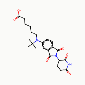 CC(C)(C)N(CCCCCC(=O)O)c1ccc2c(c1)C(=O)N(C1CCC(=O)NC1=O)C2=O